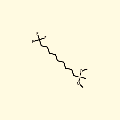 CO[Si](C)(CCCCCCCCCC(F)(F)F)OC